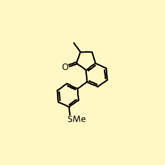 CSc1cccc(-c2cccc3c2C(=O)C(C)C3)c1